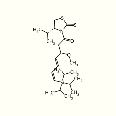 COC(/C=C/C=C\[Si](C(C)C)(C(C)C)C(C)C)CC(=O)N1C(=S)SC[C@H]1C(C)C